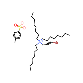 CCCCCCCC[N+](CC#CBr)(CCCCCCCC)CCCCCCCC.Cc1ccc(S(=O)(=O)[O-])cc1